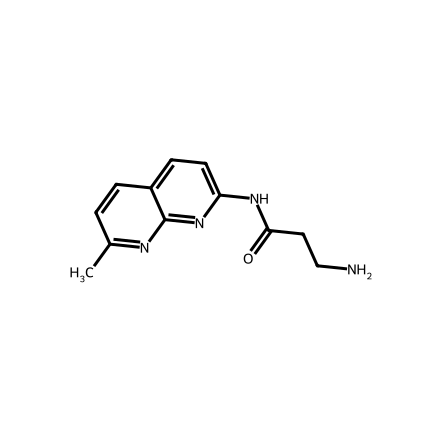 Cc1ccc2ccc(NC(=O)CCN)nc2n1